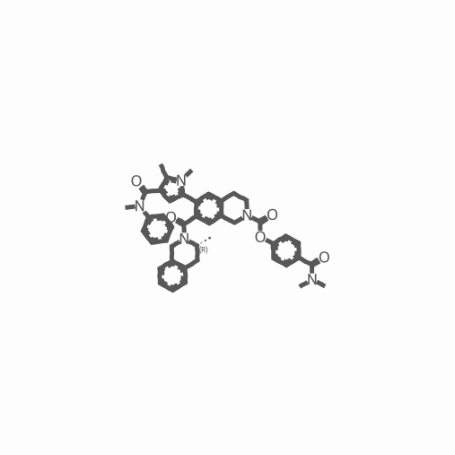 Cc1c(C(=O)N(C)c2ccccc2)cc(-c2cc3c(cc2C(=O)N2Cc4ccccc4C[C@H]2C)CN(C(=O)Oc2ccc(C(=O)N(C)C)cc2)CC3)n1C